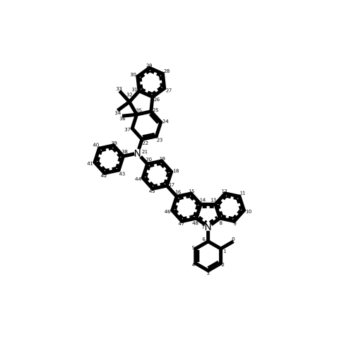 CC1C=CC=CC1n1c2ccccc2c2cc(-c3ccc(N(C4=CC=C5c6ccccc6C(C)(C)C5(C)C4)c4ccccc4)cc3)ccc21